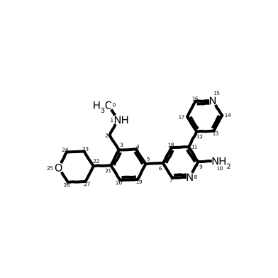 CNCc1cc(-c2cnc(N)c(-c3ccncc3)c2)ccc1C1CCOCC1